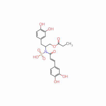 CCC(=O)OCC(Cc1ccc(O)c(O)c1)N(C(=O)/C=C/c1ccc(O)c(O)c1)S(=O)(=O)O